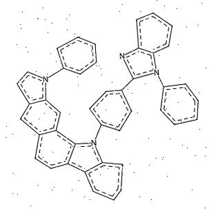 c1ccc(-n2ccc3cc4ccc5c6ccccc6n(-c6ccc(-c7nc8ccccc8n7-c7ccccc7)cc6)c5c4cc32)cc1